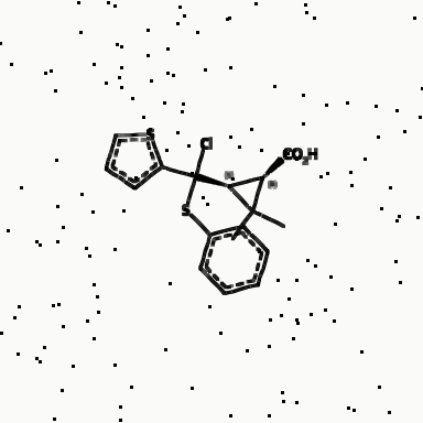 CC1(C)[C@H](C(=O)O)[C@@H]1C(Cl)(Sc1ccccc1)c1cccs1